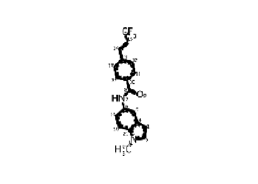 Cn1ccc2cc(NC(=O)c3ccc(C=CC(F)(F)F)cc3)ccc21